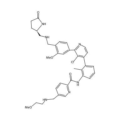 COCCNCc1ccc(C(=O)Nc2cccc(-c3ccnc(-c4ccc(CNC[C@H]5CCC(=O)N5)c(OC)c4)c3Cl)c2C)nc1